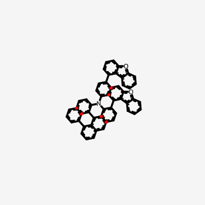 c1ccc(-c2cccc3cccc(-c4ccccc4N(c4ccc(-c5cccc6oc7ccccc7c56)cc4)c4ccccc4-c4cccc5oc6ccccc6c45)c23)cc1